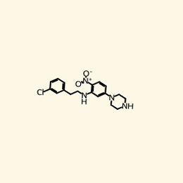 O=[N+]([O-])c1ccc(N2CCNCC2)cc1NCCc1cccc(Cl)c1